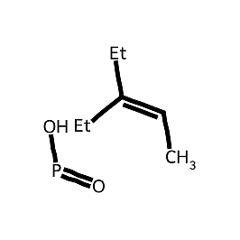 CC=C(CC)CC.O=PO